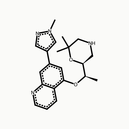 C[C@@H](Oc1cc(-c2cnn(C)c2)cc2ncccc12)[C@@H]1CNCC(C)(C)O1